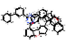 c1ccc(-c2cccc(-c3nc(-c4cccc(-c5ccccc5)c4)nc(-c4cccc5oc6ccc(-c7c(-c8ccccc8)ccc8oc9ccccc9c78)cc6c45)n3)c2)cc1